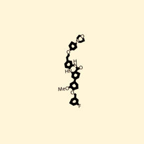 COc1cc(-c2ccc3c(c2)Nc2ccc(CCOc4ccc(N5CCOCC5)cc4)cc2NC3=O)ccc1OCc1cccc(F)c1